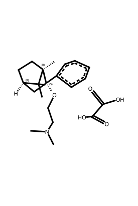 CN(C)CCO[C@]1(c2ccccc2)C[C@H]2CC[C@]1(C)C2(C)C.O=C(O)C(=O)O